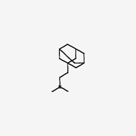 CN(C)CCC12CC3CC(CC(C3)C1)C2